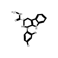 CNC(=O)[C@@H]1Cc2c([nH]c3ccccc23)[C@@H](c2ccc(Cl)cc2Br)N1